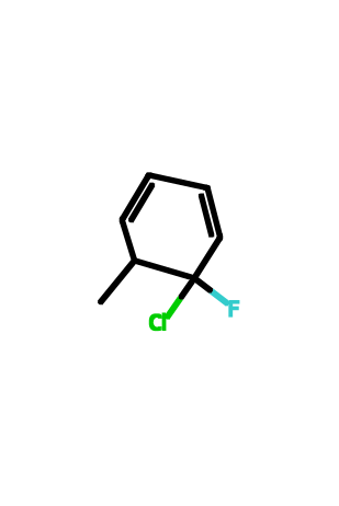 CC1C=CC=CC1(F)Cl